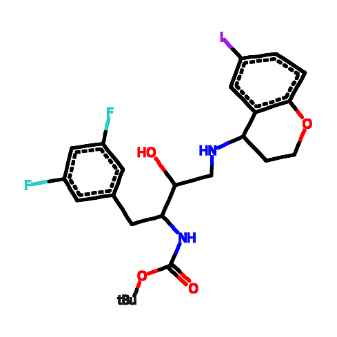 CC(C)(C)OC(=O)NC(Cc1cc(F)cc(F)c1)C(O)CNC1CCOc2ccc(I)cc21